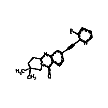 CC1(C)CCc2nc3cc(C#Cc4ncccc4F)ccc3c(=O)n2C1